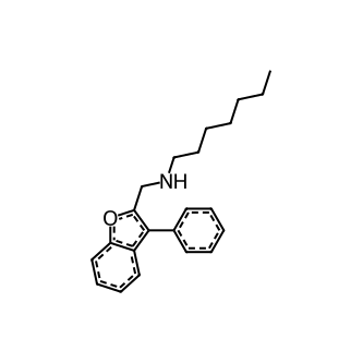 CCCCCCCNCc1oc2ccccc2c1-c1ccccc1